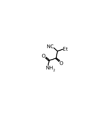 CCC(C#N)C(=O)C(N)=O